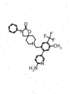 Cc1cc(-c2ccc(N)nc2)c(CN2CCC3(CC2)CN(c2ccccc2)C(=O)O3)cc1C(F)(F)F